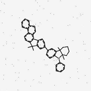 CC1(C)c2cc(-c3ccc4c(c3)C3(C)CCCCC3(C)N4c3ccccc3)ccc2-c2c1ccc1c2ccc2ccccc21